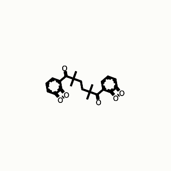 CC(C)(CCC(C)(C)C(=O)c1cccc2ooc12)C(=O)c1cccc2ooc12